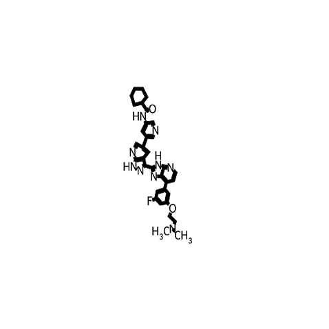 CN(C)CCOc1cc(F)cc(-c2ccnc3[nH]c(-c4n[nH]c5ncc(-c6cncc(NC(=O)C7CCCCC7)c6)cc45)nc23)c1